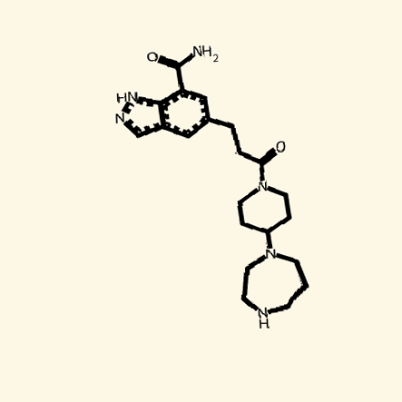 NC(=O)c1cc(C[CH]C(=O)N2CCC(N3CCCNCC3)CC2)cc2cn[nH]c12